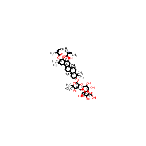 C/C=C(/C)C(=O)O[C@H]1[C@H](OC(=O)/C(C)=C\C)[C@@]2(CO)C(CC1(C)C)C1=CCC3[C@@]4(C)CC[C@H](O[C@@H]5OC(C)(C(=O)O)[C@@H](O)[C@@H](CO[C@@H]6O[C@@H](CO)C(O)[C@@H]6O)C5O[C@@H]5OC(C)(CO)[C@H](O)[C@@H](O)C5O)C(C)(C)C4CC[C@@]3(C)[C@]1(C)C[C@H]2O